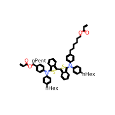 C=CC(=O)OCCCCCCc1ccc(N(c2ccc(CCCCCC)cc2)c2sc(-c3sc(N(c4ccc(CCCCCC)cc4)c4ccc(C(CCCCC)OC(=O)C=C)cc4)c4ccccc34)c3ccccc23)cc1